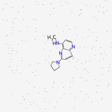 CNc1ccnc2ccc(N3CCCC3)nc12